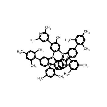 Cc1cc(C)c(-c2ccc3c4ccc(-c5c(C)cc(C)cc5C)cc4n(-c4cc(C#N)c(-c5cc(C)nc(C)c5)cc4-n4c5cc(-c6c(C)cc(C)cc6C)ccc5c5ccc(-c6c(C)cc(C)cc6C)cc54)c3c2)c(C)c1